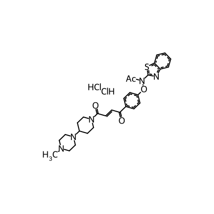 CC(=O)N(Oc1ccc(C(=O)/C=C/C(=O)N2CCC(N3CCN(C)CC3)CC2)cc1)c1nc2ccccc2s1.Cl.Cl